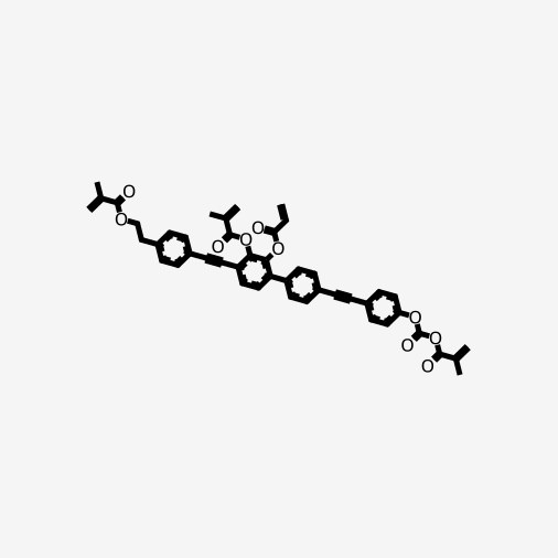 C=CC(=O)Oc1c(-c2ccc(C#Cc3ccc(OC(=O)OC(=O)C(=C)C)cc3)cc2)ccc(C#Cc2ccc(CCOC(=O)C(=C)C)cc2)c1OC(=O)C(=C)C